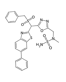 CN(Cc1nnc(C(c2nc3ccc(-c4ccccc4)cc3s2)S(=O)(=O)Cc2ccccc2)o1)S(N)(=O)=O